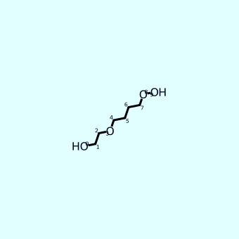 OCCOCCCCOO